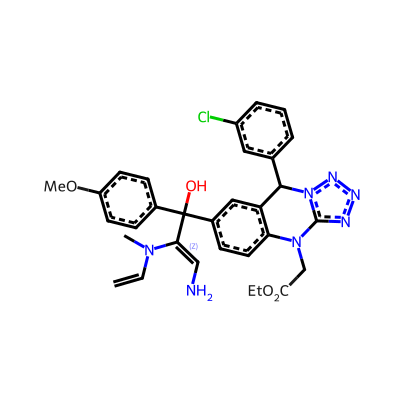 C=CN(C)/C(=C\N)C(O)(c1ccc(OC)cc1)c1ccc2c(c1)C(c1cccc(Cl)c1)n1nnnc1N2CC(=O)OCC